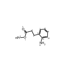 CCCOC(=O)CCc1ccccc1N